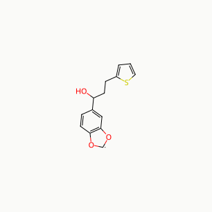 OC(CCc1cccs1)c1ccc2c(c1)O[CH]O2